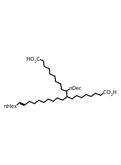 CCCCCC/C=C/CCCCCCCCC(CCCCCCCC(=O)O)C(CCCCCCCCCC)CCCCCCCCC(=O)O